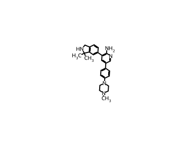 CN1CCN(c2ccc(-c3cnc(N)c(-c4ccc5c(c4)C(C)(C)NC5)c3)cc2)CC1